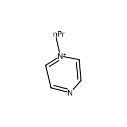 CCC[n+]1ccncc1